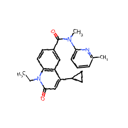 CCn1c(=O)cc(C2CC2)c2cc(C(=O)N(C)c3cccc(C)n3)ccc21